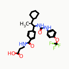 C[C@@H](C1CCCCC1)C(NC(=O)Nc1ccc(OC(F)(F)F)cc1)c1ccc(C(=O)NCCC(=O)O)cc1